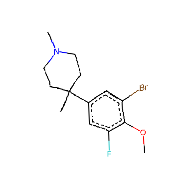 COc1c(F)cc(C2(C)CCN(C)CC2)cc1Br